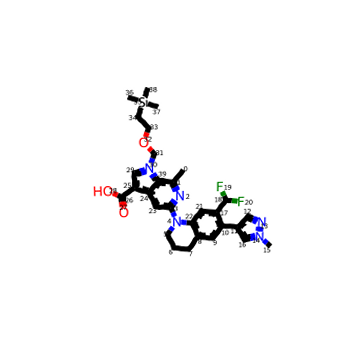 Cc1nc(N2CCCc3cc(-c4cnn(C)c4)c(C(F)F)cc32)cc2c(C(=O)O)cn(COCC[Si](C)(C)C)c12